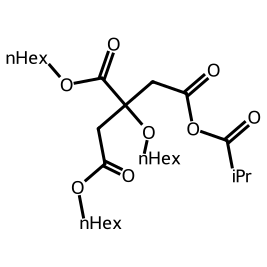 CCCCCCOC(=O)CC(CC(=O)OC(=O)C(C)C)(OCCCCCC)C(=O)OCCCCCC